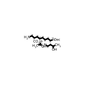 CC(O)C(=O)O.CC(O)CCN.CCCCCCCCCCCCCCCCCCN